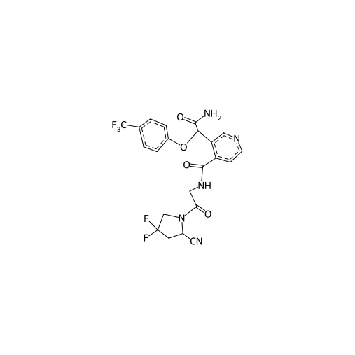 N#CC1CC(F)(F)CN1C(=O)CNC(=O)c1ccncc1C(Oc1ccc(C(F)(F)F)cc1)C(N)=O